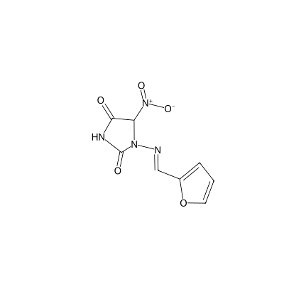 O=C1NC(=O)N(N=Cc2ccco2)C1[N+](=O)[O-]